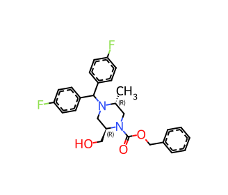 C[C@@H]1CN(C(=O)OCc2ccccc2)[C@@H](CO)CN1C(c1ccc(F)cc1)c1ccc(F)cc1